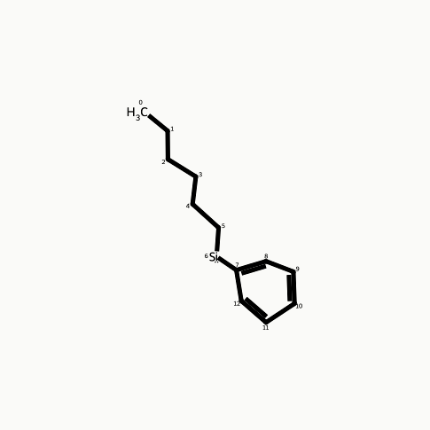 CCCCCC[Si]c1ccccc1